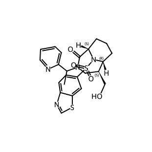 CC(c1ccccn1)N1C[C@H](CO)[C@H]2CCC[C@@H](C1=O)N2S(=O)(=O)c1ccc2ncsc2c1